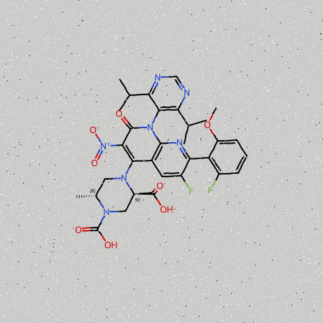 COc1cccc(F)c1-c1nc2c(cc1F)c(N1C[C@@H](C)N(C(=O)O)C[C@@H]1C(=O)O)c([N+](=O)[O-])c(=O)n2-c1c(C(C)C)ncnc1C(C)C